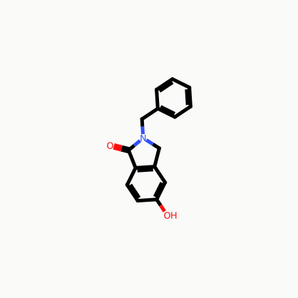 O=C1c2ccc(O)cc2CN1Cc1ccccc1